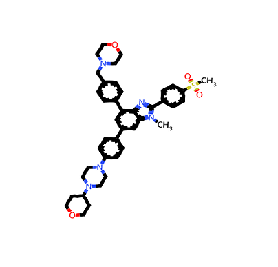 Cn1c(-c2ccc(S(C)(=O)=O)cc2)nc2c(-c3ccc(CN4CCOCC4)cc3)cc(-c3ccc(N4CCN(C5CCOCC5)CC4)cc3)cc21